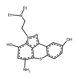 CCN(CC)CCn1nc2c3c(c(N)cc(O)c31)Sc1ccc(O)cc1-2